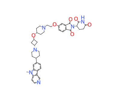 Cn1c2ccncc2c2ccc(C3CCN([C@H]4C[C@H](OC5CCN(CCOc6ccc7c(c6)C(=O)N(C6CCC(=O)NC6=O)C7=O)CC5)C4)CC3)cc21